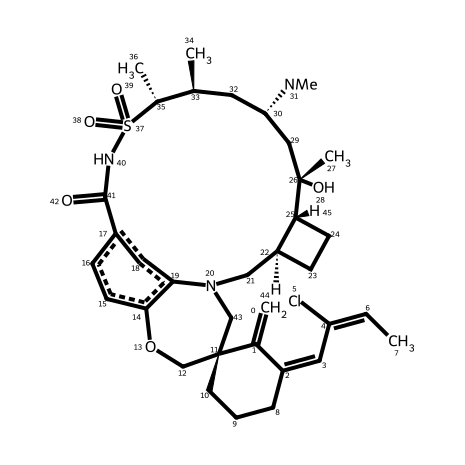 C=C1/C(=C\C(Cl)=C/C)CCC[C@]12COc1ccc3cc1N(C[C@@H]1CC[C@H]1[C@@](C)(O)C[C@@H](NC)C[C@H](C)[C@@H](C)S(=O)(=O)NC3=O)C2